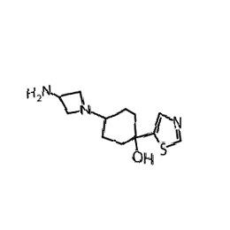 NC1CN(C2CCC(O)(c3cncs3)CC2)C1